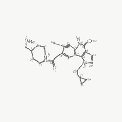 COCC1CCN(C(=O)c2cc3c(cc2C)[nH]c(=O)c2cnn(CC4CC4)c23)CC1